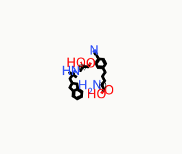 CC(C)(CC1Cc2ccccc2C1)NC[C@@H](O)COc1cc(CCC[C@@H](N)C(=O)O)ccc1C#N